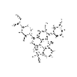 C=CC(=O)N1CCN(c2nc(=O)n(-c3c(C(C)C)cccc3S(C)(=O)=O)c3nc(-c4cccc(=O)[nH]4)c(F)cc23)[C@@H](C)C1